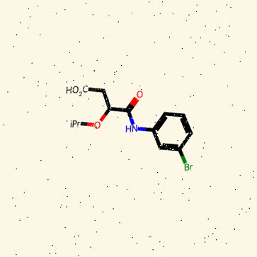 CC(C)OC(CC(=O)O)C(=O)Nc1cccc(Br)c1